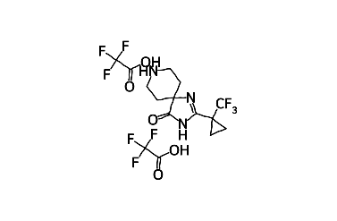 O=C(O)C(F)(F)F.O=C(O)C(F)(F)F.O=C1NC(C2(C(F)(F)F)CC2)=NC12CCNCC2